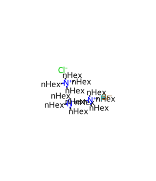 CCCCCC[N+](CCCCCC)(CCCCCC)CCCCCC.CCCCCC[N+](CCCCCC)(CCCCCC)CCCCCC.CCCCCC[N+](CCCCCC)(CCCCCC)CCCCCC.[Br-].[Cl-].[F-]